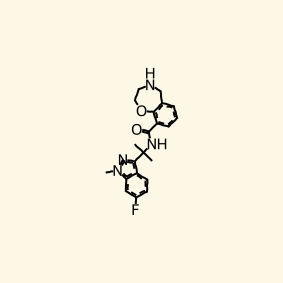 Cn1nc(C(C)(C)NC(=O)c2cccc3c2OCCNC3)c2ccc(F)cc21